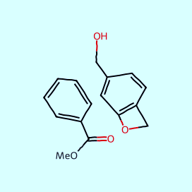 COC(=O)c1ccccc1.OCc1ccc2c(c1)OC2